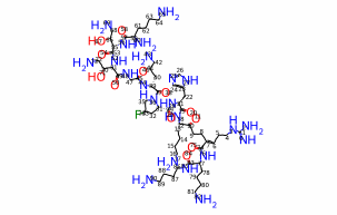 N=C(N)NCC/C=C(\CCC(=O)[C@H](CCCCN)NC(=O)[C@H](Cc1cnc[nH]1)NC(=O)[C@@H]1C[C@@H](F)CN1C(=O)[C@@H](CCCN)NC(=O)CNC(=O)[C@@H](NC(=O)[C@@H](NC(=O)[C@@H](N)CCCCN)[C@@H](O)CN)[C@@H](O)CN)C(=O)N[C@@H](CCCCN)C(=O)NCCCCN